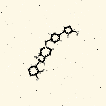 Fc1cccc(-c2nc3ccn(Cc4ccc(-c5ccc(Cl)s5)cc4)cc-3n2)c1F